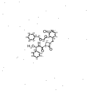 C[C@@H](NC(=O)C1C(=O)[C@H](Cc2ccnc(Cl)c2)[C@H]1C(=O)OCc1ccccc1)c1ccccc1